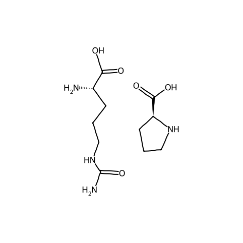 NC(=O)NCCC[C@H](N)C(=O)O.O=C(O)[C@@H]1CCCN1